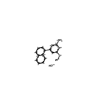 CC(C)Oc1cc(-c2cccc3ccccc23)nc(N)n1.Cl